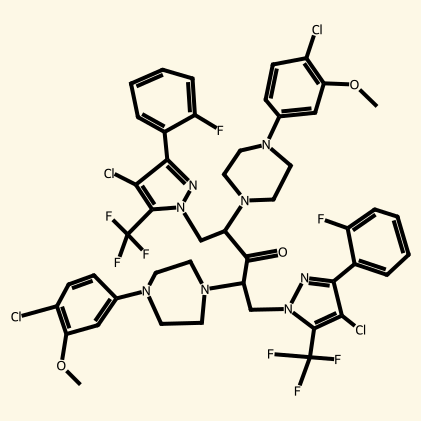 COc1cc(N2CCN(C(Cn3nc(-c4ccccc4F)c(Cl)c3C(F)(F)F)C(=O)C(Cn3nc(-c4ccccc4F)c(Cl)c3C(F)(F)F)N3CCN(c4ccc(Cl)c(OC)c4)CC3)CC2)ccc1Cl